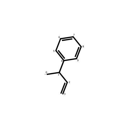 [CH2]C(C=C)c1ccccc1